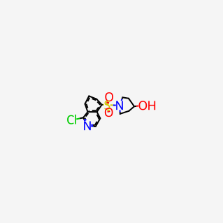 O=S(=O)(c1cccc2c(Cl)nccc12)N1CCC(O)CC1